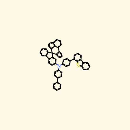 c1ccc(-c2ccc(N(c3ccc(-c4cccc5c4sc4ccccc45)cc3)c3ccc4c(c3)C3(c5ccccc5-4)c4ccccc4-c4cccc5cccc3c45)cc2)cc1